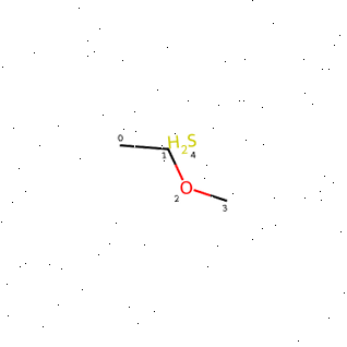 CCOC.S